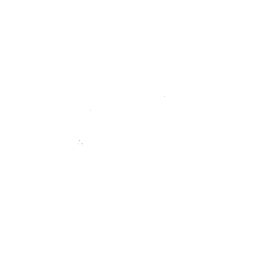 Cc1ccccc1/C=C1\C[N]CS1